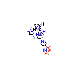 Cc1cc(Nc2cc(N3CCC(C(=O)NS(C)(=O)=O)CC3)nc(N[C@@H]3C[C@H]4CC[C@@H](C3)N4CCC#N)n2)n[nH]1